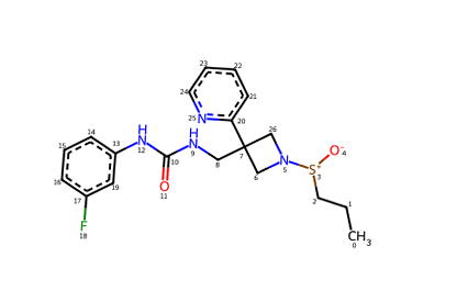 CCC[S+]([O-])N1CC(CNC(=O)Nc2cccc(F)c2)(c2ccccn2)C1